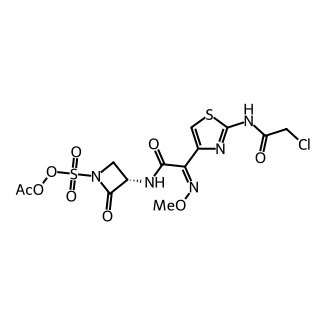 CON=C(C(=O)N[C@H]1CN(S(=O)(=O)OOC(C)=O)C1=O)c1csc(NC(=O)CCl)n1